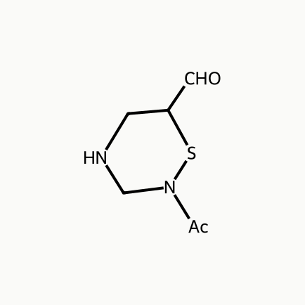 CC(=O)N1CNCC(C=O)S1